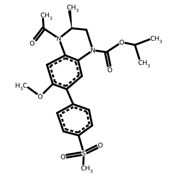 COc1cc2c(cc1-c1ccc(S(C)(=O)=O)cc1)N(C(=O)OC(C)C)C[C@H](C)N2C(C)=O